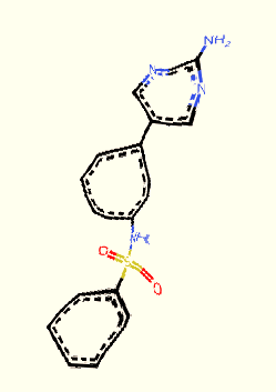 Nc1ncc(-c2cccc(NS(=O)(=O)c3ccccc3)c2)cn1